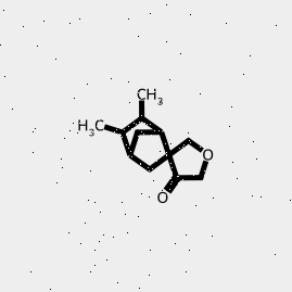 CC1C2CC(C1C)C1(COCC1=O)C2